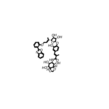 C/C(=C\c1ccc(O[C@@H]2O[C@H](/C(C)=C/COc3ccccc3-c3nc4ccccc4o3)[C@@H](O)[C@@H]2O)c(O)c1)C(=O)N[C@@H]1[C@H](O)[C@@H](O)[C@H]2OCO[C@H]2[C@@H]1O